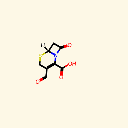 O=CC1=C(C(=O)O)N2C(=O)C[C@H]2SC1